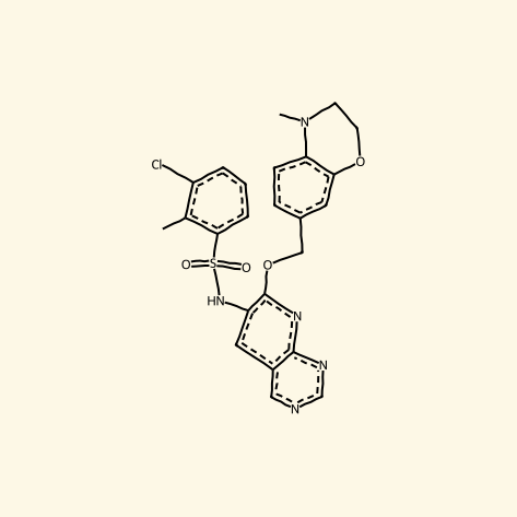 Cc1c(Cl)cccc1S(=O)(=O)Nc1cc2cncnc2nc1OCc1ccc2c(c1)OCCN2C